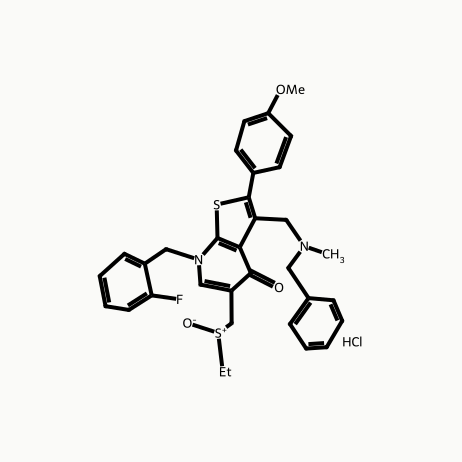 CC[S+]([O-])Cc1cn(Cc2ccccc2F)c2sc(-c3ccc(OC)cc3)c(CN(C)Cc3ccccc3)c2c1=O.Cl